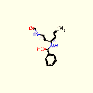 C=C/C=C(\C=C\NC=O)NC(O)c1ccccc1